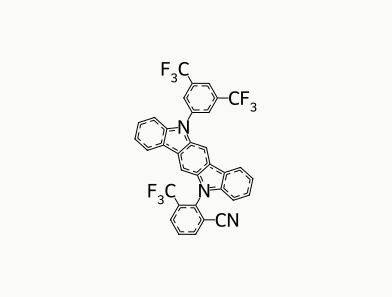 N#Cc1cccc(C(F)(F)F)c1-n1c2ccccc2c2cc3c(cc21)c1ccccc1n3-c1cc(C(F)(F)F)cc(C(F)(F)F)c1